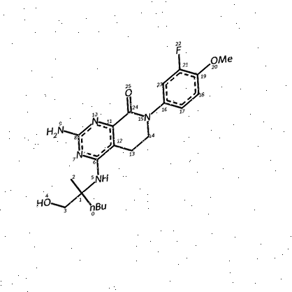 CCCCC(C)(CO)Nc1nc(N)nc2c1CCN(c1ccc(OC)c(F)c1)C2=O